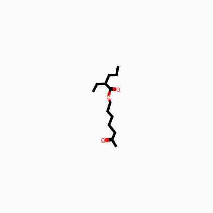 CCCC(CC)C(=O)OCCCCCC(C)=O